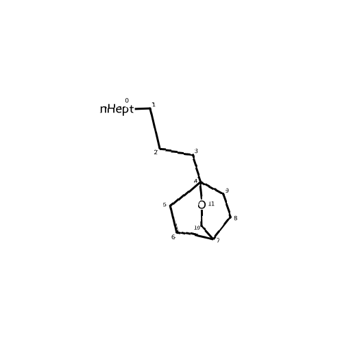 CCCCCCCCCCC12CCC(CC1)CO2